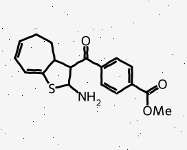 COC(=O)c1ccc(C(=O)C2C(N)SC3=CC=CCCC32)cc1